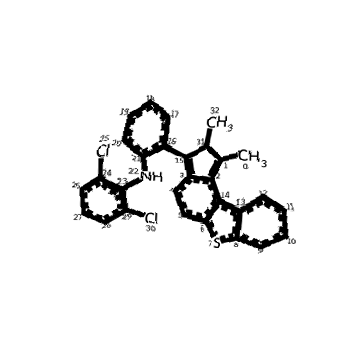 CC1=c2c(ccc3sc4ccccc4c23)=C(c2ccccc2Nc2c(Cl)cccc2Cl)C1C